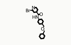 O=C(Nc1ccc(COCc2ccccc2)cc1)c1ccnc(Br)c1